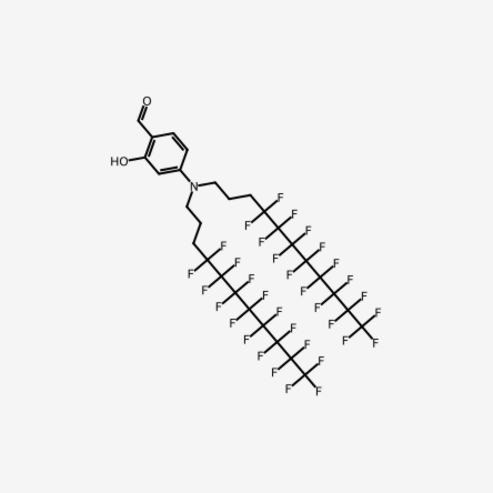 O=Cc1ccc(N(CCCC(F)(F)C(F)(F)C(F)(F)C(F)(F)C(F)(F)C(F)(F)C(F)(F)C(F)(F)F)CCCC(F)(F)C(F)(F)C(F)(F)C(F)(F)C(F)(F)C(F)(F)C(F)(F)C(F)(F)F)cc1O